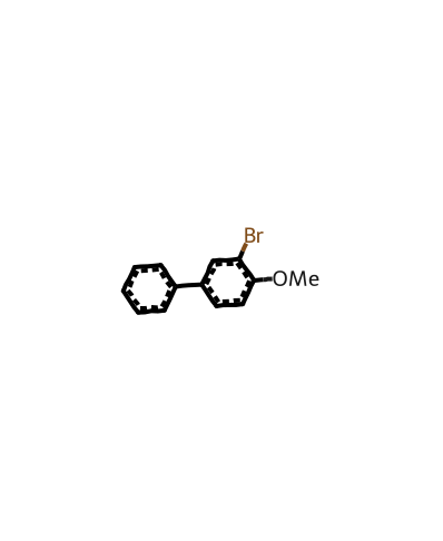 COc1ccc(-c2ccccc2)cc1Br